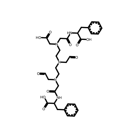 O=CCN(CCN(CC=O)CC(=O)NC(Cc1ccccc1)C(=O)O)CCN(CC(=O)O)CC(=O)NC(Cc1ccccc1)C(=O)O